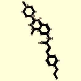 CCCc1ccc(C=CC(=O)Nc2ccc3nc(N4CCN(C)CC4)nc(C)c3c2)cc1